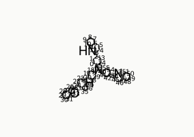 C1=CC(C2C=Cc3ccccc3N2)CC=C1N(C1=CC=C(C2=CC=C(c3cc4ccccc4o3)C3CC[C@H]23)CC1)c1ccc(C2CC=c3ccccc3=N2)cc1